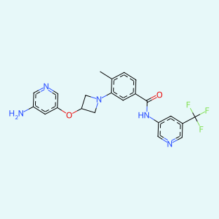 Cc1ccc(C(=O)Nc2cncc(C(F)(F)F)c2)cc1N1CC(Oc2cncc(N)c2)C1